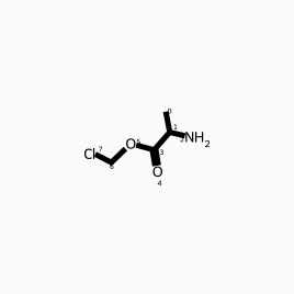 CC(N)C(=O)OCCl